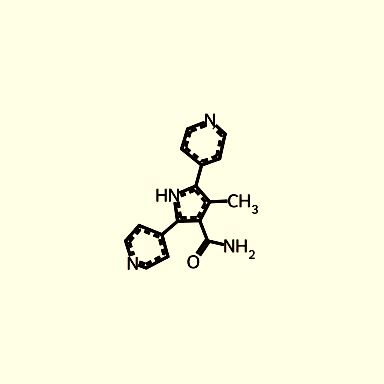 Cc1c(-c2ccncc2)[nH]c(-c2ccncc2)c1C(N)=O